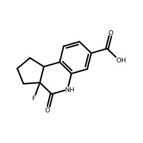 O=C(O)c1ccc2c(c1)NC(=O)C1(F)CCCC21